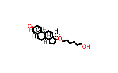 C[C@]12C=CC(=O)C[C@@H]1CC[C@@H]1[C@@H]2CC[C@]2(C)[C@@H](OCCCCCCO)CC[C@@H]12